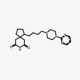 O=C1CC2(CCCC2CCCCN2CCN(c3ncccn3)CC2)CC(=O)N1